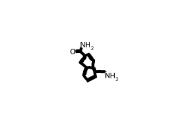 NCc1cccc2cc(C(N)=O)ccc12